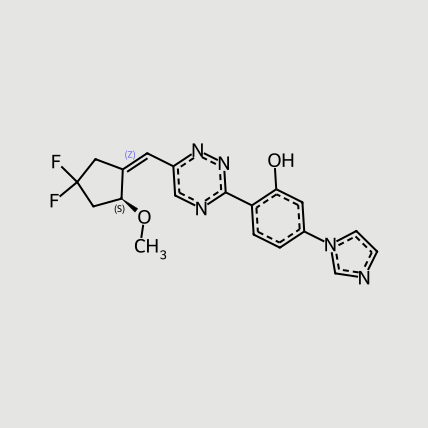 CO[C@H]1CC(F)(F)C/C1=C/c1cnc(-c2ccc(-n3ccnc3)cc2O)nn1